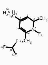 CC1=CC(C)N(F)C(C)=C1.FC(F)F.S